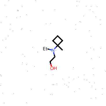 CCN(CCO)C1(C)CCC1